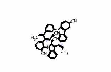 C#C/C=C(\C(=C/C)c1cccc(-n2c3c(c4ccccc42)CC(C#N)C=C3)c1)c1cccc(C#N)c1-n1c(C=C)c(/C=C\C)c2ccccc21